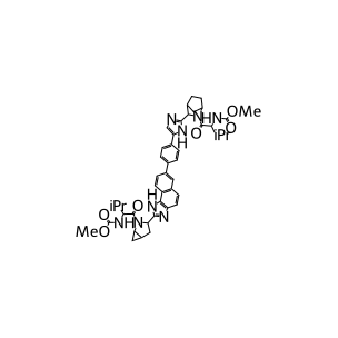 COC(=O)NC(C(=O)N1C(c2nc3ccc4cc(-c5ccc(-c6cnc(C7C8CCC(C8)N7C(=O)C(NC(=O)OC)C(C)C)[nH]6)cc5)ccc4c3[nH]2)CC2CC21)C(C)C